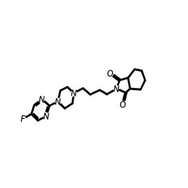 O=C1C2CCCCC2C(=O)N1CCCCN1CCN(c2ncc(F)cn2)CC1